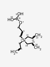 C=CC[Si](C=CCOB(O)O)(CC=C)CC=C